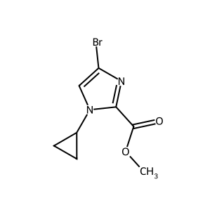 COC(=O)c1nc(Br)cn1C1CC1